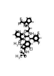 Cn1nc(NS(C)(=O)=O)c2c(Cl)ccc(-n3c([C@H](Cc4cc(F)cc(F)c4)NC(=O)Cn4nc(C(F)F)c5c4CCC5)nc4ncccc4c3=O)c21